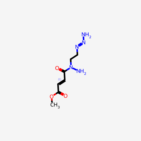 COC(=O)/C=C/C(=O)N(N)CCN=NN